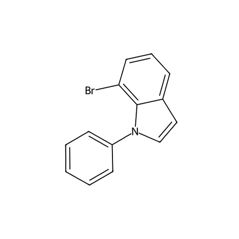 Brc1cccc2ccn(-c3ccccc3)c12